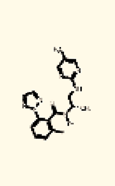 CCN(C(=O)c1c(F)cccc1-n1nccn1)[C@@H](C)CNc1ncc(C(F)(F)F)cn1